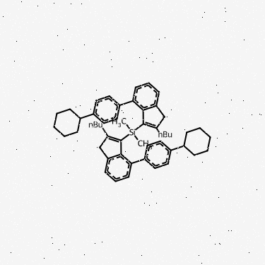 CCCCC1=C([Si](C)(C)C2=C(CCCC)[CH]c3cccc(-c4ccc(C5CCCCC5)cc4)c32)c2c(cccc2-c2ccc(C3CCCCC3)cc2)[CH]1